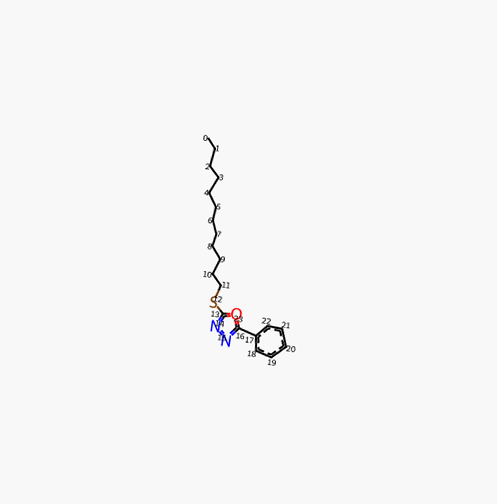 CCCCCCCCCCCCSc1nnc(-c2ccccc2)o1